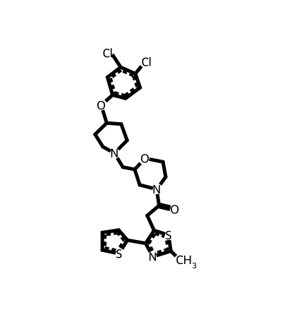 Cc1nc(-c2cccs2)c(CC(=O)N2CCOC(CN3CCC(Oc4ccc(Cl)c(Cl)c4)CC3)C2)s1